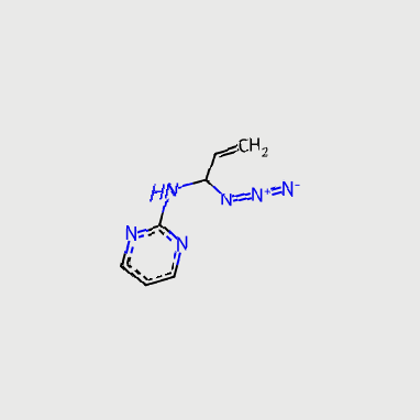 C=CC(N=[N+]=[N-])Nc1ncccn1